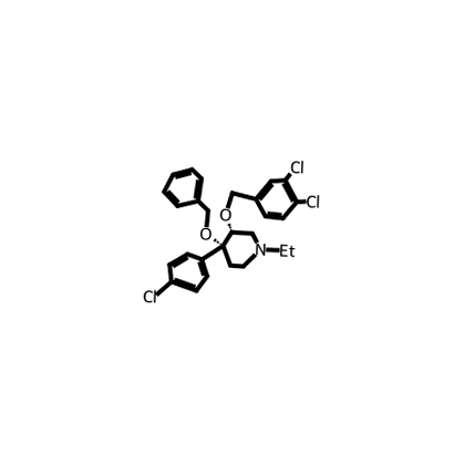 CCN1CC[C@@](OCc2ccccc2)(c2ccc(Cl)cc2)[C@H](OCc2ccc(Cl)c(Cl)c2)C1